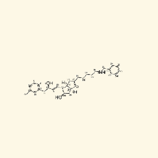 Cc1cccc(C[C@@H](O)/C=C/[C@@H]2[C@H]3CC(CCCCCNCc4ccccc4)=C[C@H]3C[C@H]2O)c1